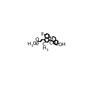 COC(=O)/C=C/c1ccc(C2(C)c3ccc(O)cc3CCN2c2ccc(F)cc2)cc1C